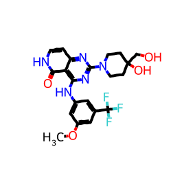 COc1cc(Nc2nc(N3CCC(O)(CO)CC3)nc3cc[nH]c(=O)c23)cc(C(F)(F)F)c1